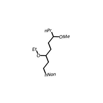 [CH2]CCCCCCCCCCC(CCC(CCC)OC)OCC